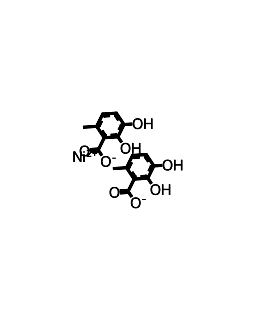 Cc1ccc(O)c(O)c1C(=O)[O-].Cc1ccc(O)c(O)c1C(=O)[O-].[Ni+2]